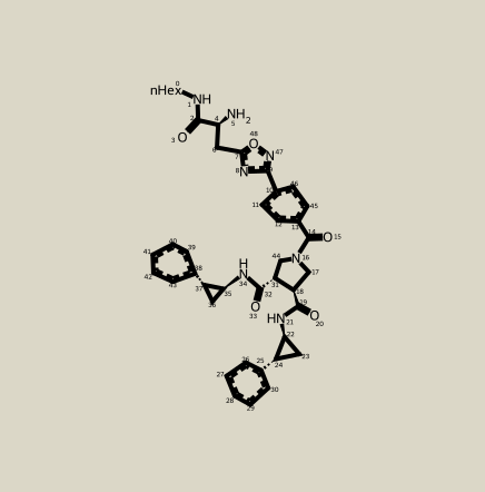 CCCCCCNC(=O)[C@@H](N)Cc1nc(-c2ccc(C(=O)N3C[C@@H](C(=O)N[C@H]4C[C@@H]4c4ccccc4)[C@H](C(=O)N[C@H]4C[C@@H]4c4ccccc4)C3)cc2)no1